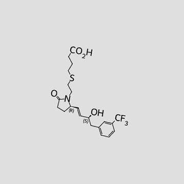 O=C(O)CCCSCCN1C(=O)CC[C@@H]1C=C[C@@H](O)Cc1cccc(C(F)(F)F)c1